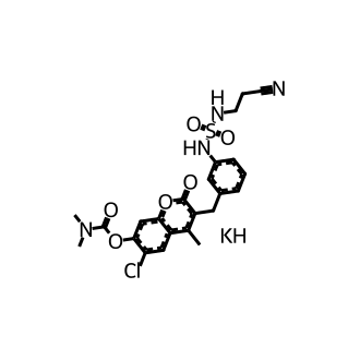 Cc1c(Cc2cccc(NS(=O)(=O)NCCC#N)c2)c(=O)oc2cc(OC(=O)N(C)C)c(Cl)cc12.[KH]